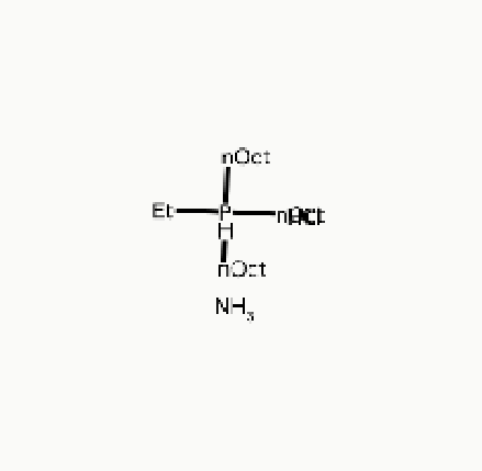 CCCCCCCC[PH](CC)(CCCCCCCC)CCCCCCCC.Cl.N